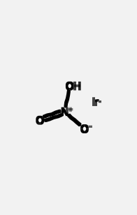 O=[N+]([O-])O.[Ir]